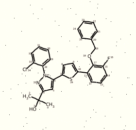 CC(C)(O)c1cc(-c2ccc(-c3cccc(F)c3OCc3ccccc3)s2)n(-c2ccccc2Cl)n1